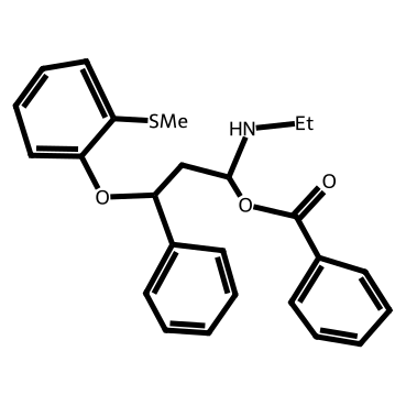 CCNC(CC(Oc1ccccc1SC)c1ccccc1)OC(=O)c1ccccc1